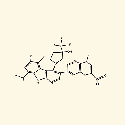 CNc1cc(F)c(F)c2c1[nH]c1ncc(-c3cnc4c(c3)CC(C(=O)O)=CN4C)c(N3CCC(O)(C(F)(F)F)C3)c12